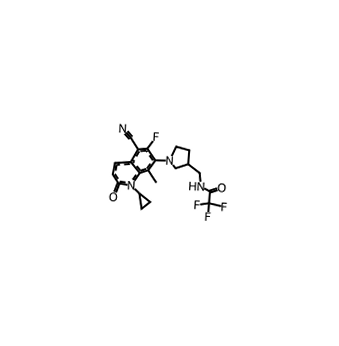 Cc1c(N2CCC(CNC(=O)C(F)(F)F)C2)c(F)c(C#N)c2ccc(=O)n(C3CC3)c12